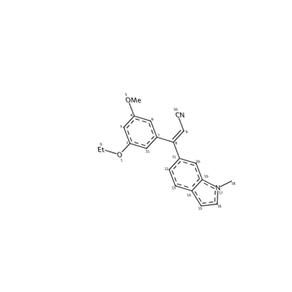 CCOc1cc(OC)cc(C(=CC#N)c2ccc3ccn(C)c3c2)c1